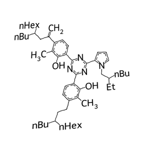 C=C(CC(CCCC)CCCCCC)c1ccc(-c2nc(-c3ccc(CCC(CCCC)CCCCCC)c(C)c3O)nc(-c3cccn3CC(CC)CCCC)n2)c(O)c1C